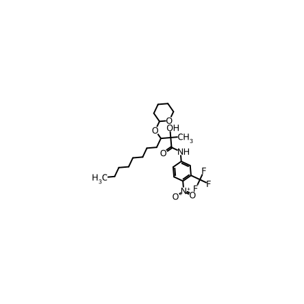 CCCCCCCCC(OC1CCCCO1)C(C)(O)C(=O)Nc1ccc([N+](=O)[O-])c(C(F)(F)F)c1